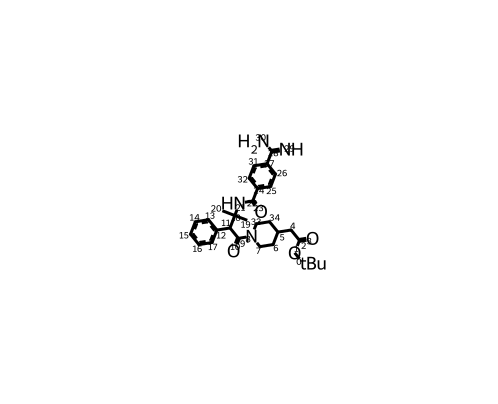 CC(C)(C)OC(=O)CC1CCN(C(=O)C(c2ccccc2)C(C)(C)NC(=O)c2ccc(C(=N)N)cc2)CC1